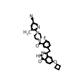 Cc1cc(C#N)cnc1N1CCN(C(=O)c2cc(Cc3n[nH]c(=O)c4ccc(OC5CCC5)cc34)ccc2F)CC1